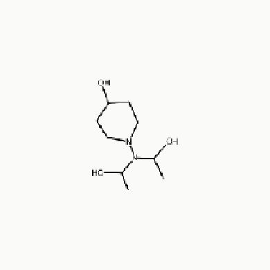 CC(O)N(C(C)O)N1CCC(O)CC1